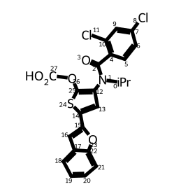 CC(C)N(C(=O)c1ccc(Cl)cc1Cl)c1cc(-c2cc3ccccc3o2)sc1OC(=O)O